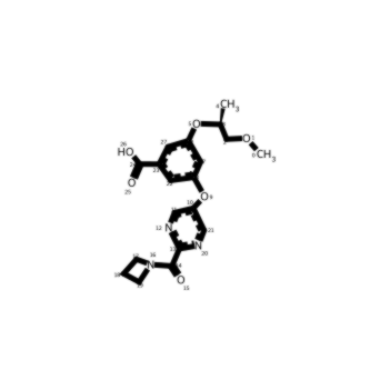 COC[C@H](C)Oc1cc(Oc2cnc(C(=O)N3CCC3)nc2)cc(C(=O)O)c1